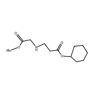 CC(C)(C)OC(=O)CNCCC(=O)OC1CCCCC1